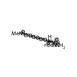 CCCCc1nc2c(N)nc3ccccc3c2n1CCNC(=O)CCOCCOCCOCCOCCOCCOCCC(=O)NC